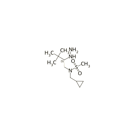 CC(C)(C)[C@@H](CN(CC1CC1)S(C)(=O)=O)NN